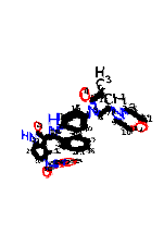 CC(C)C(=O)N(CCN1CCOCC1)c1ccc(N/C(=C2\C(=O)Nc3ccc([N+](=O)[O-])cc32)c2ccccc2)cc1